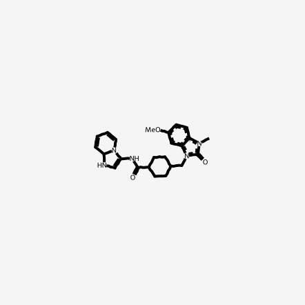 COc1ccc2c(c1)n(CC1CCC(C(=O)NC3=CNC4C=CC=CN34)CC1)c(=O)n2C